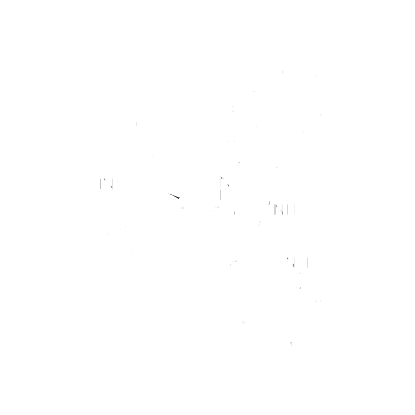 O=C=CC(C[C@@H]1CCNC1=C=O)NC(=C=O)C(CC1CCCCC1)NC(=O)c1cc2ccccc2[nH]1